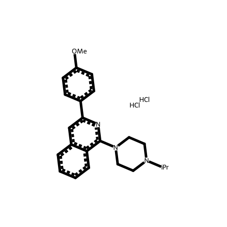 COc1ccc(-c2cc3ccccc3c(N3CCN(C(C)C)CC3)n2)cc1.Cl.Cl